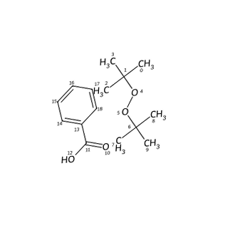 CC(C)(C)OOC(C)(C)C.O=C(O)c1ccccc1